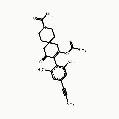 CC#Cc1cc(C)c(C2=C(OC(C)=O)CC3(CCN(C(N)=O)CC3)CC2=O)c(C)c1